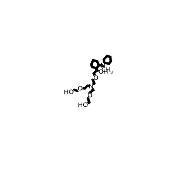 CN(C1CCCCC1)C1CCCCC1C(O)COCCN(CCOCCO)CCOCCO